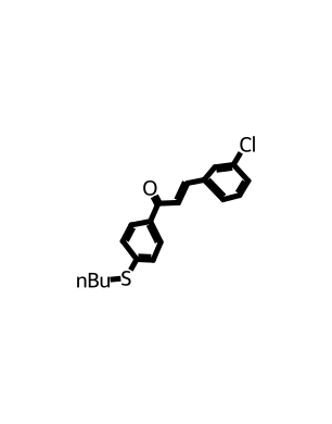 CCCCSc1ccc(C(=O)C=Cc2cccc(Cl)c2)cc1